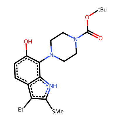 CCc1c(SC)[nH]c2c(N3CCN(C(=O)OC(C)(C)C)CC3)c(O)ccc12